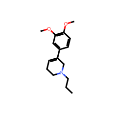 CCCN1CCC=C(c2ccc(OC)c(OC)c2)C1